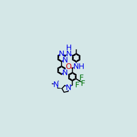 Cc1ccc(NC(=O)c2ccc(CN3CC[C@@H](CN(C)C)C3)c(C(F)(F)F)c2)cc1Nc1nccc(-c2cccnc2)n1